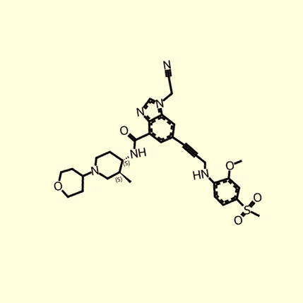 COc1cc(S(C)(=O)=O)ccc1NCC#Cc1cc(C(=O)N[C@H]2CCN(C3CCOCC3)C[C@@H]2C)c2ncn(CC#N)c2c1